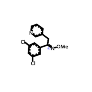 CO/N=C(\Cc1cccnc1)c1cc(Cl)cc(Cl)c1